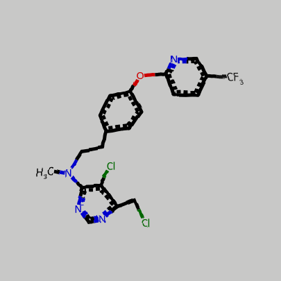 CN(CCc1ccc(Oc2ccc(C(F)(F)F)cn2)cc1)c1ncnc(CCl)c1Cl